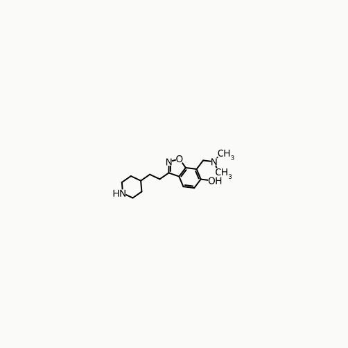 CN(C)Cc1c(O)ccc2c(CCC3CCNCC3)noc12